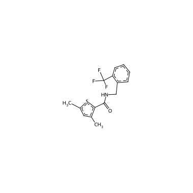 Cc1cc(C)c(C(=O)NCc2ccccc2C(F)(F)F)s1